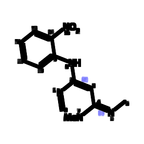 C=N/C(=C\C(=N/C)NC)Nc1ccccc1[N+](=O)[O-]